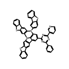 c1ccc(-c2nc(-c3cccnc3)nc(-c3cc4c5c(c3)N(c3ccc6sc7ccccc7c6c3)c3cc6c(cc3B5c3cc5sc7ccccc7c5cc3-4)sc3ccccc36)n2)cc1